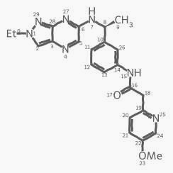 CCn1cc2ncc(N[C@@H](C)c3cccc(NC(=O)Cc4ccc(OC)cn4)c3)nc2n1